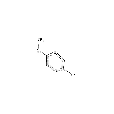 [CH]CCc1ccc(OC(F)(F)F)cc1